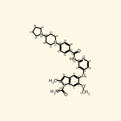 COc1cc2c(cc1Oc1ccnc(NC(=O)c3ccc(N4CCC(N5CCCC5)CC4)cc3)c1)cc(C)n2C(N)=O